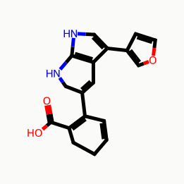 O=C(O)C1=C(C2=Cc3c(-c4ccoc4)c[nH]c3NC2)C=CCC1